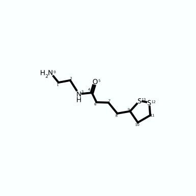 NCCNC(=O)CCCC1CCSS1